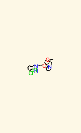 CCC1(CC)CC(OCCCNCc2cccc(Cl)c2Cl)(c2ccccn2)CCO1